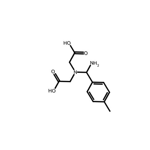 Cc1ccc(C(N)N(CC(=O)O)CC(=O)O)cc1